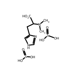 CN(C)C(Cc1c[nH]cn1)C(=O)O.O=S(O)O.O=S(O)O